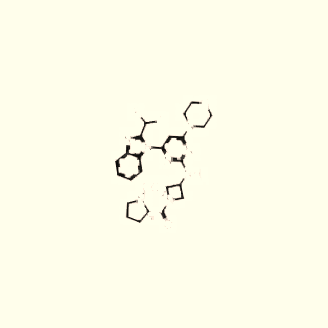 O=C([C@@H]1CCCN1C(=O)O)N1CC(Nc2nc(N3CCOCC3)cc(-n3c(C(F)F)nc4ccccc43)n2)C1